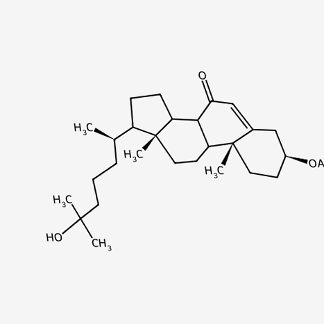 CC(=O)O[C@H]1CC[C@@]2(C)C(=CC(=O)C3C4CCC([C@H](C)CCCC(C)(C)O)[C@@]4(C)CCC32)C1